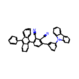 N#Cc1c(-c2cccc(-n3c4ccccc4c4ccccc43)c2)ccc(-c2c3ccccc3c(-c3ccccc3)c3ccccc23)c1C#N